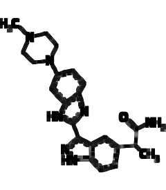 CC(C(N)=O)c1ccc2[nH]nc(-c3nc4ccc(N5CCN(C)CC5)cc4[nH]3)c2c1